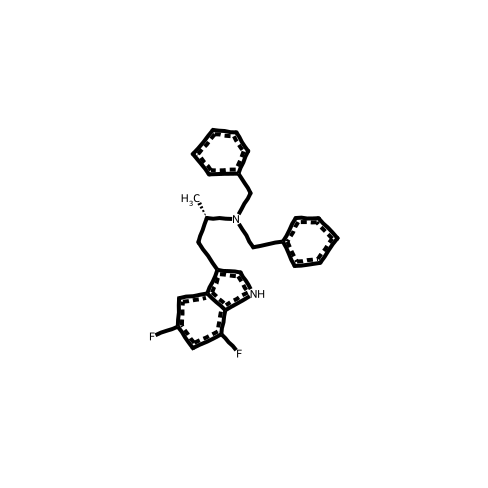 C[C@@H](Cc1c[nH]c2c(F)cc(F)cc12)N(Cc1ccccc1)Cc1ccccc1